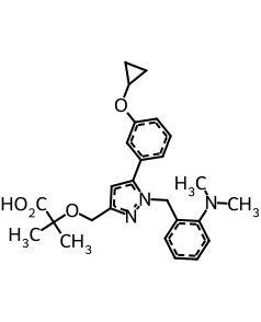 CN(C)c1ccccc1Cn1nc(COC(C)(C)C(=O)O)cc1-c1cccc(OC2CC2)c1